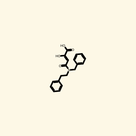 O=C(O)C(O)=CC(=O)N(CCc1ccccc1)Cc1ccccc1